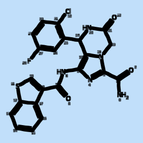 NC(=O)c1nc(NC(=O)c2csc3ccccc23)c2n1CC(=O)NC2c1cc(F)ccc1Cl